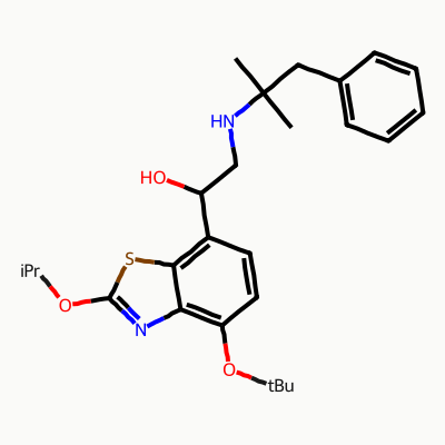 CC(C)Oc1nc2c(OC(C)(C)C)ccc(C(O)CNC(C)(C)Cc3ccccc3)c2s1